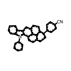 N#Cc1ccc(-c2ccc3ccc4c5c(ccc2c35)cc2c3ccccc3n(-c3ccccc3)c24)cc1